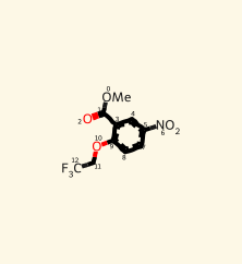 COC(=O)c1cc([N+](=O)[O-])ccc1OCC(F)(F)F